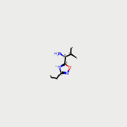 CCc1noc([C@@H](N)C(C)C)n1